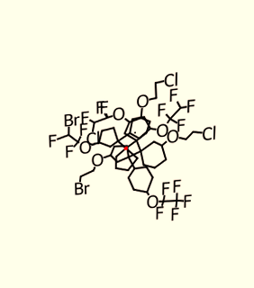 FC(F)C(F)(F)OC1CC[C](C2(C3(C4(C5(C6(C7CCC(OC(F)(F)C(F)(F)F)CC7)CCC(OCCBr)C6)CCCC(OCCCl)C5)CCC(OCCCl)C(OC(F)(F)C(F)Cl)C4)CCCC3)CCC(OC(F)(F)C(F)Br)C2)C1